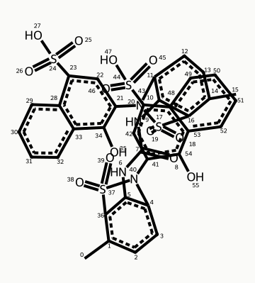 Cc1ccc2c(NC(=O)Nc3c4ccc(C)c3S(=O)(=O)N4c3cc(S(=O)(=O)O)c4ccccc4c3O)c1S(=O)(=O)N2c1cc(S(=O)(=O)O)c2ccccc2c1O